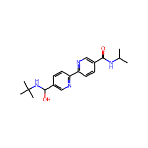 CC(C)NC(=O)c1ccc(-c2ccc(C(O)NC(C)(C)C)cn2)nc1